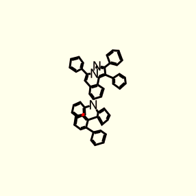 c1ccc(-c2ccccc2-c2ccccc2N(c2ccccc2)c2ccc3c(c2)cc(-c2ccccc2)n2nc(-c4ccccc4)c(-c4ccccc4)c32)cc1